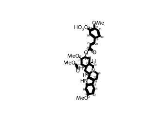 COC(=O)[C@H]1[C@H]2C[C@@H]3c4[nH]c5cc(OC)ccc5c4CCN3C[C@H]2C[C@@H](OC(=O)/C=C/c2ccc(OC)c(C(=O)O)c2)[C@@H]1OC